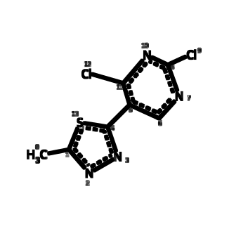 Cc1nnc(-c2cnc(Cl)nc2Cl)s1